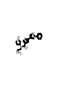 CCCN(C(=O)c1csc(-c2cnn(-c3ccccc3)c2)c1)[C@H]1CCNC1